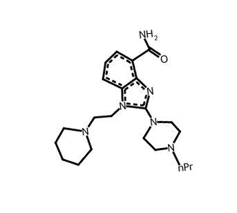 CCCN1CCN(c2nc3c(C(N)=O)cccc3n2CCN2CCCCC2)CC1